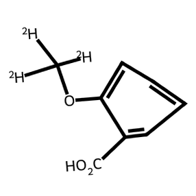 [2H]C([2H])([2H])Oc1ccccc1C(=O)O